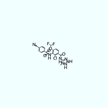 CN1NNN=C1NC(=O)c1ccc(OC(F)F)c(NS(=O)(=O)c2ccc(C#N)cc2)c1Cl